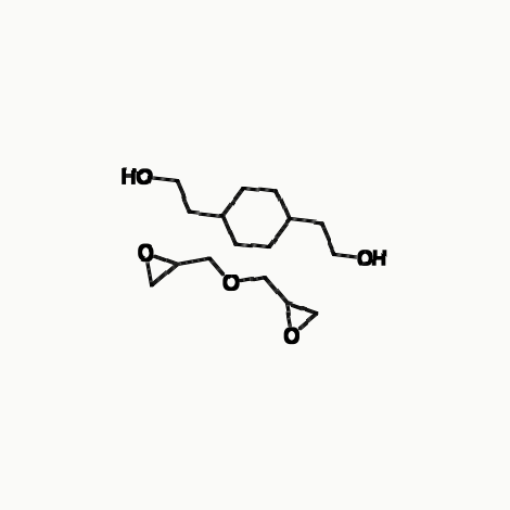 C(OCC1CO1)C1CO1.OCCC1CCC(CCO)CC1